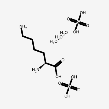 NCCCC[C@H](N)C(=O)O.O.O.O.O=S(=O)(O)O.O=S(=O)(O)O